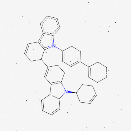 C1=CC2C3=C(CCC(C4CC=Cc5c4n(C4=CC=C(C6=CCCCC6)CC4)c4ccccc54)=C3)N([C@@H]3CC=CCC3)C2C=C1